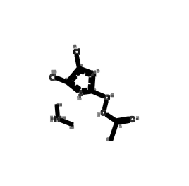 CC(=O)OOc1nc(Cl)c(Cl)s1.CNC